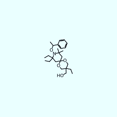 CCC1(CO)COC2(CC(C)(C)N(OC(C)c3ccccc3)C(CC)(CC)C2)OC1